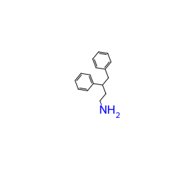 NCCC(Cc1ccccc1)c1ccccc1